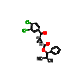 N#CC(C#N)=C(OC(=O)[C@@H]1C[C@H]1C(=O)c1ccc(Cl)c(Cl)c1)c1ccccc1